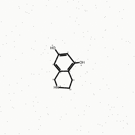 Oc1cc(O)c2c(c1)CNCC2